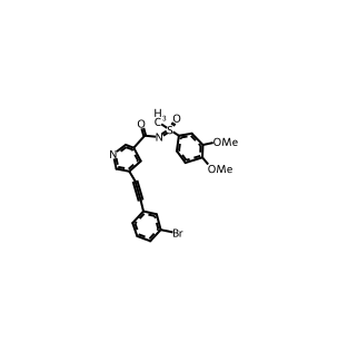 COc1ccc(S(C)(=O)=NC(=O)c2cncc(C#Cc3cccc(Br)c3)c2)cc1OC